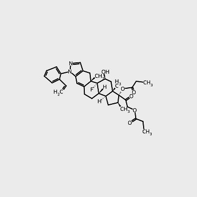 C=Cc1ccccc1-n1ncc2c1C=C1CC[C@H]3[C@@H]4C[C@H](C)[C@](OC(=O)CC)(C(=O)COC(=O)CC)[C@@]4(C)C[C@H](O)[C@]3(F)[C@@]1(C)C2